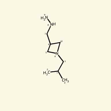 CC(C)CN1CC(CNN)C1